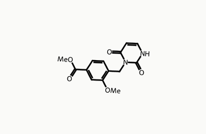 COC(=O)c1ccc(Cn2c(=O)cc[nH]c2=O)c(OC)c1